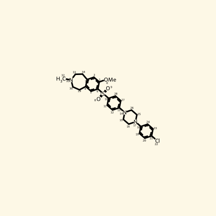 COc1cc2c(cc1S(=O)(=O)c1ccc(N3CCN(c4ccc(Cl)cc4)CC3)cc1)CCN(C)CC2